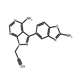 C#CCn1nc(-c2ccc3oc(N)nc3c2)c2c(N)ncnc21